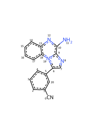 N#Cc1cccc(-c2cnc3c(N)nc4ccccc4n23)c1